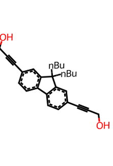 CCCCC1(CCCC)c2cc(C#CCO)ccc2-c2ccc(C#CCO)cc21